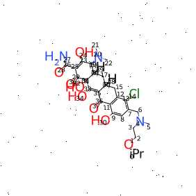 CC(C)OCCN(C)Cc1cc(O)c2c(c1Cl)C[C@H]1C[C@H]3[C@H](N(C)C)C(O)=C(C(N)=O)C(=O)[C@@]3(O)C(O)=C1C2=O